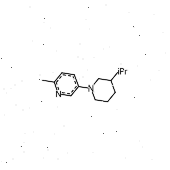 Cc1ccc(N2CCCC(C(C)C)C2)cn1